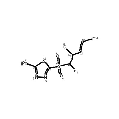 CC(C)c1nnc(S(=O)(=O)C(F)C(F)C=CF)s1